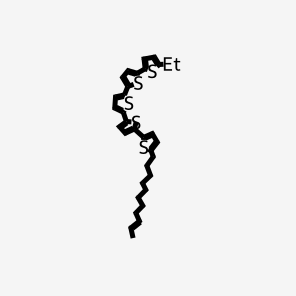 CC=CCCCCCCCCc1ccc(-c2ccc(-c3ccc(-c4ccc(-c5ccc(CC)s5)s4)s3)s2)s1